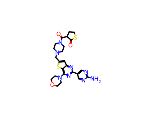 Nc1ncc(-c2nc(N3CCOCC3)c3sc(CN4CCN(C(=O)C5CCSC5=O)CC4)cc3n2)cn1